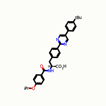 CC(C)Oc1ccc(C(=O)N[C@@H](Cc2ccc(-c3ncc(-c4ccc(C(C)(C)C)cc4)cn3)cc2)C(=O)O)cc1